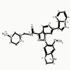 COc1cc2c(cc1-n1nc(C(=O)NC[C@@H]3CN(C)CCO3)c3cnc(-c4cnn5cccnc45)cc31)SCCN2